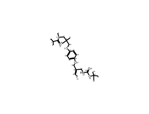 CC(C)C(=O)N(C)CC(C)(C)CSc1ccc(OC/C(=C/F)CNC(=O)OC(C)(C)C)cc1